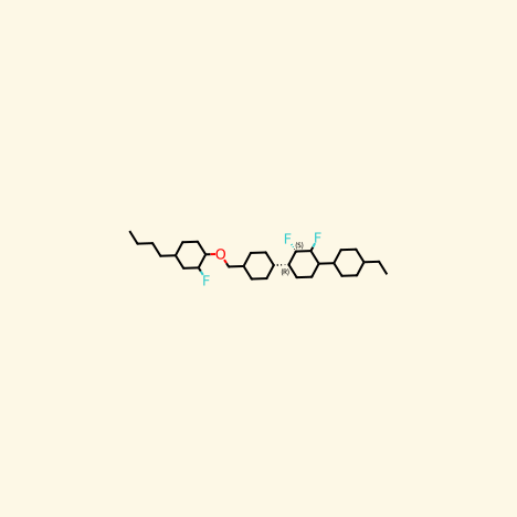 CCCCC1CCC(OCC2CCC([C@H]3CCC(C4CCC(CC)CC4)C(F)[C@H]3F)CC2)C(F)C1